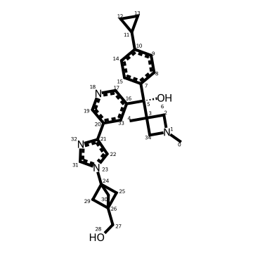 CN1CC(C)([C@](O)(c2ccc(C3CC3)cc2)c2cncc(-c3cn(C45CC(CO)(C4)C5)cn3)c2)C1